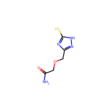 NC(=O)COCc1n[nH]c(S)n1